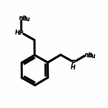 CCCCPCc1ccccc1CPCCCC